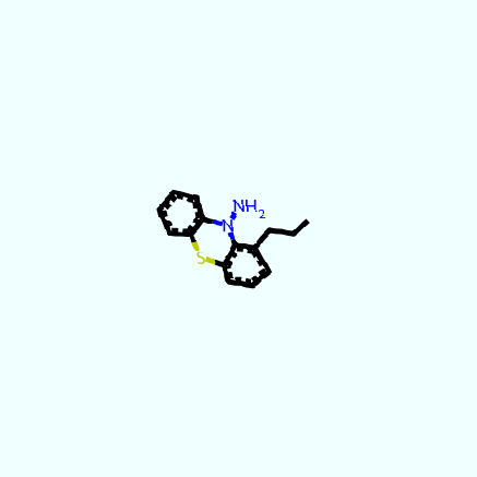 CCCc1cccc2c1N(N)c1ccccc1S2